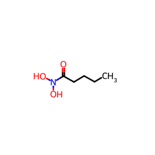 CCCCC(=O)N(O)O